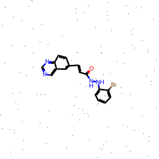 O=C(C=Cc1ccc2ncncc2c1)NNc1ccccc1Br